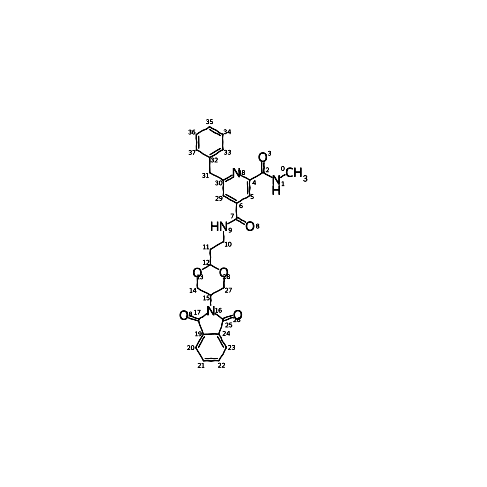 CNC(=O)c1cc(C(=O)NCCC2OCC(N3C(=O)c4ccccc4C3=O)CO2)cc(Cc2ccccc2)n1